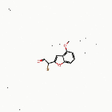 COc1cccc2oc(C(Br)C=O)cc12